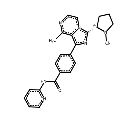 Cc1nccn2c([C@@H]3CCCN3C#N)nc(-c3ccc(C(=O)Nc4ccccn4)cc3)c12